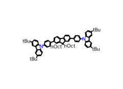 CCCCCCCCC1(CCCCCCCC)c2cc(-c3ccc(-n4c5ccc(C(C)(C)C)cc5c5cc(C(C)(C)C)ccc54)cc3)ccc2-c2ccc(-c3ccc(-n4c5ccc(C(C)(C)C)cc5c5cc(C(C)(C)C)ccc54)cc3)cc21